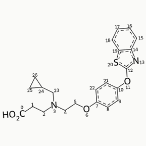 O=C(O)CCN(CCOc1ccc(Oc2nc3ccccc3s2)cc1)CC1CC1